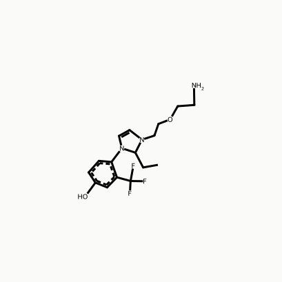 CCC1N(CCOCCN)C=CN1c1ccc(O)cc1C(F)(F)F